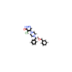 O=c1[nH]ncc(N2CCN([C@H](COCC3C=CCCC3)c3ccccc3)CC2)c1Cl